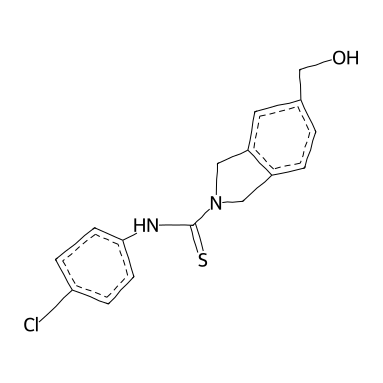 OCc1ccc2c(c1)CN(C(=S)Nc1ccc(Cl)cc1)C2